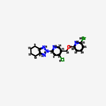 Clc1cc(-n2nc3c(n2)CCCC3)ncc1COc1cccc(Br)n1